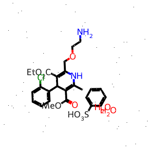 CCOC(=O)C1=C(COCCN)NC(C)=C(C(=O)OC)C1c1ccccc1Cl.O.O.O=S(=O)(O)c1ccccc1